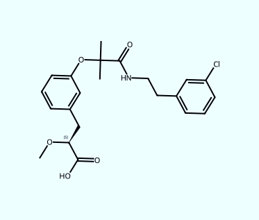 CO[C@@H](Cc1cccc(OC(C)(C)C(=O)NCCc2cccc(Cl)c2)c1)C(=O)O